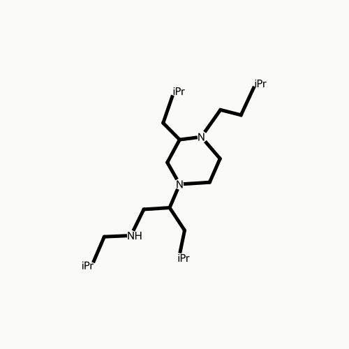 CC(C)CCN1CCN(C(CNCC(C)C)CC(C)C)CC1CC(C)C